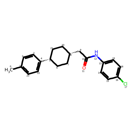 Cc1ccc([C@H]2CC[C@@H](CC(=O)Nc3ccc(Cl)cc3)CC2)cc1